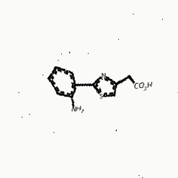 Nc1ccccc1-c1nc(CC(=O)O)cs1